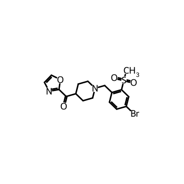 CS(=O)(=O)c1cc(Br)ccc1CN1CCC(C(=O)c2ncco2)CC1